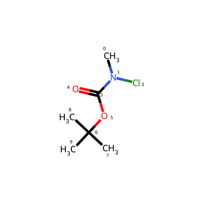 CN(Cl)C(=O)OC(C)(C)C